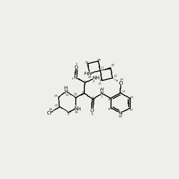 NC(N=O)C(C(=O)Nc1cnccc1O[C@H]1C[C@@]2(CCN2)C1)C1NCC(Cl)CN1